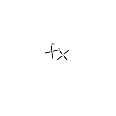 [CH2]C(C)[Si](C)(C)O[Si](C)(C)C